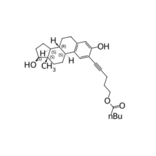 CCCCC(=O)OCCCC#Cc1cc2c(cc1O)CC[C@@H]1[C@@H]2CC[C@]2(C)[C@@H](O)CC[C@@H]12